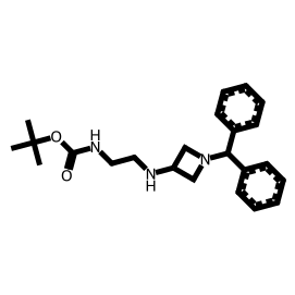 CC(C)(C)OC(=O)NCCNC1CN(C(c2ccccc2)c2ccccc2)C1